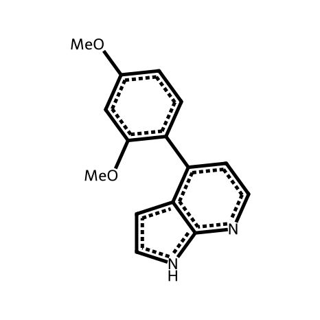 COc1ccc(-c2ccnc3[nH]ccc23)c(OC)c1